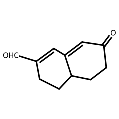 O=CC1=CC2=CC(=O)CCC2CC1